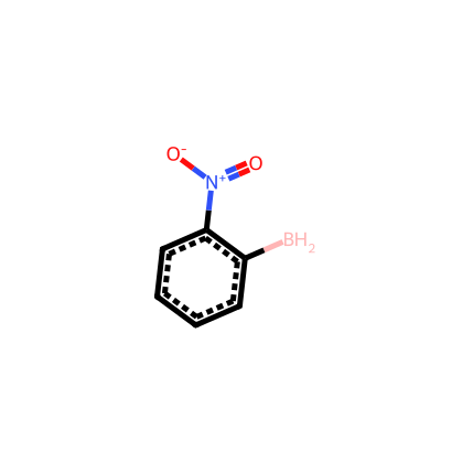 Bc1ccccc1[N+](=O)[O-]